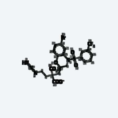 N=[N+]=NCCC(CC1CN(S(=O)(=O)c2cccc(C(F)(F)F)c2)c2cc(Br)ccc2O1)(C(=O)[O-])C(=O)O